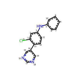 Clc1cc(Nc2ccccc2)ccc1-c1cncnc1